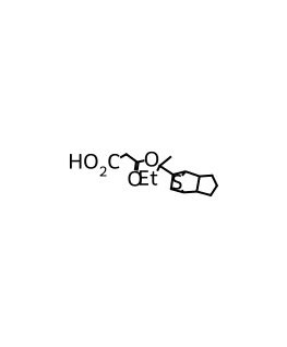 CCC(C)(OC(=O)CC(=O)O)C1CC2SC1C1CCCC21